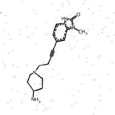 Cn1c(=O)[nH]c2ccc(C#CCCN3CCC(N)CC3)cc21